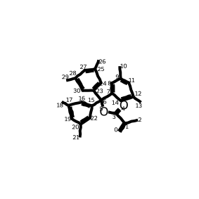 C=C(C)C(=O)OC(c1cc(C)cc(C)c1)(c1cc(C)cc(C)c1)c1cc(C)cc(C)c1